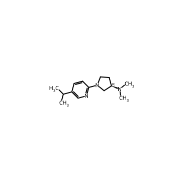 CC(C)c1ccc(N2CC[C@@H](N(C)C)C2)nc1